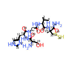 CC(C)[C@H](NC(=O)CNC(=O)[C@H](Cc1c[nH]cn1)NC(=O)C(N)CO)C(=O)N[C@@](C)(CSS)C(N)=O